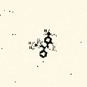 Cc1cc(C(C)(C)C)cc(C)c1C(=O)C(C(=O)OC(C)(C)C)c1ccccc1.O=[PH3]